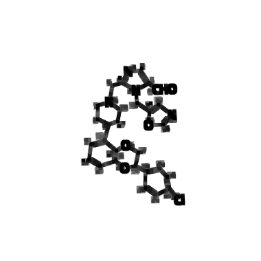 O=Cc1cnc(CN2CCC(c3cccc4c3OCC(c3ccc(Cl)cc3)O4)CC2)n1Cc1cnco1